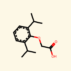 CC(C)c1cccc(C(C)C)c1OCC(=O)O